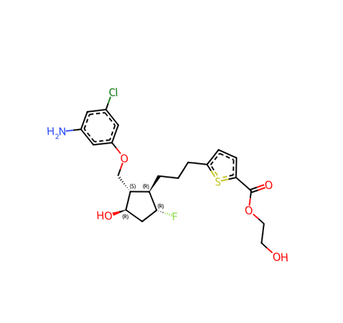 Nc1cc(Cl)cc(OC[C@@H]2[C@@H](CCCc3ccc(C(=O)OCCO)s3)[C@H](F)C[C@H]2O)c1